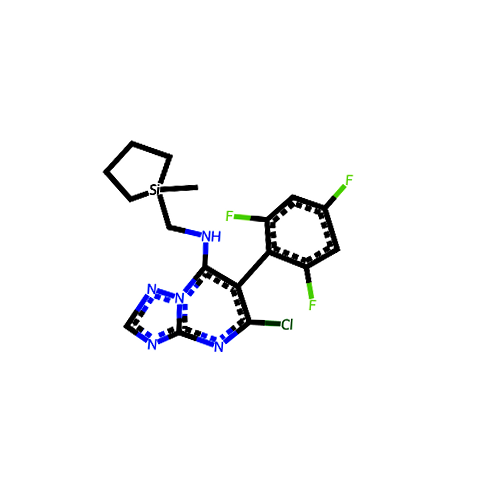 C[Si]1(CNc2c(-c3c(F)cc(F)cc3F)c(Cl)nc3ncnn23)CCCC1